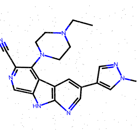 CCN1CCN(c2c(C#N)ncc3[nH]c4ncc(-c5cnn(C)c5)cc4c23)CC1